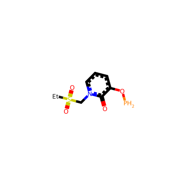 CCS(=O)(=O)Cn1cccc(OP)c1=O